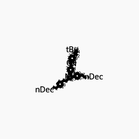 CCCCCCCCCCCCc1ccc(C=CC2=NN(c3ccc(-c4nc5cc(C(C)(C)CC(C)(C)C)ccc5o4)cc3)C(c3ccc(CCCCCCCCCCCC)cc3)C2)cc1